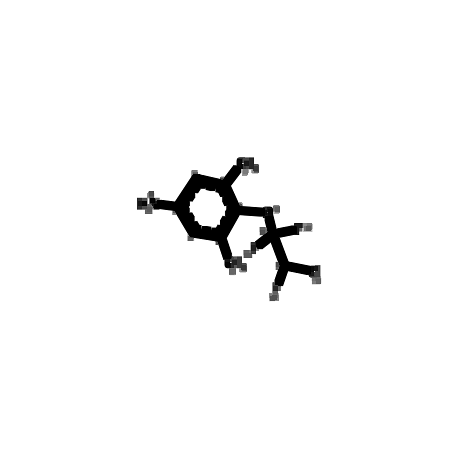 Cc1cc(N)cc(C)c1OC(F)(F)C(F)Cl